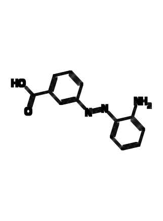 Nc1ccccc1N=Nc1cccc(C(=O)O)c1